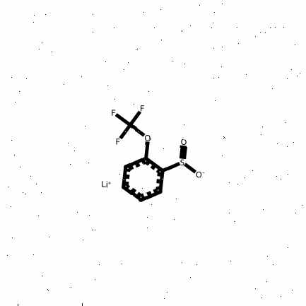 O=S([O-])c1ccccc1OC(F)(F)F.[Li+]